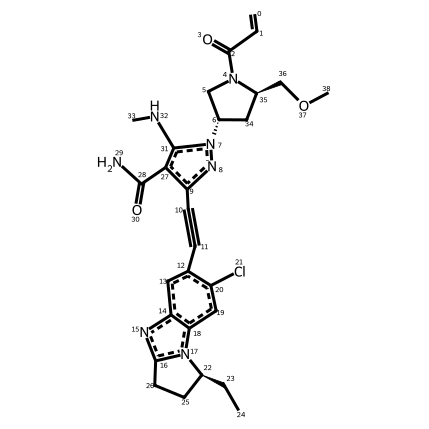 C=CC(=O)N1C[C@@H](n2nc(C#Cc3cc4nc5n(c4cc3Cl)[C@@H](CC)CC5)c(C(N)=O)c2NC)C[C@@H]1COC